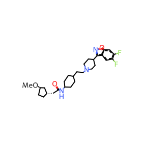 CO[C@@H]1CC[C@@H](CC(=O)NC2CCC(CCN3CCC(c4noc5cc(F)c(F)cc45)CC3)CC2)C1